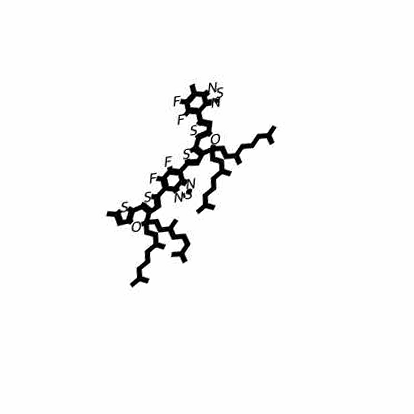 Cc1cc2c(s1)-c1sc(-c3c(F)c(F)c(-c4cc5c(s4)-c4sc(-c6c(F)c(F)c(C)c7nsnc67)cc4OC5(CCC(C)CCCC(C)C)CCC(C)CCCC(C)C)c4nsnc34)cc1C(CCC(C)CCCC(C)C)(CCC(C)CCCC(C)C)O2